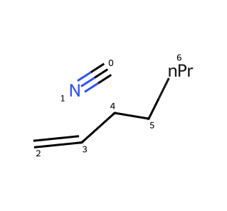 C#N.C=CCCCCC